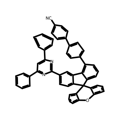 N#Cc1ccc(-c2ccc(-c3cccc4c3-c3cc(-c5nc(-c6ccccc6)cc(-c6ccccc6)n5)ccc3C43c4ccccc4Oc4ccccc43)cc2)cc1